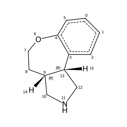 c1ccc2c(c1)OCC[C@H]1CNC[C@@H]21